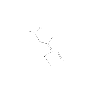 CC/C(C=O)=C(/O)CC(C)Br